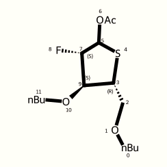 CCCCOC[C@H]1SC(OC(C)=O)[C@@H](F)[C@@H]1OCCCC